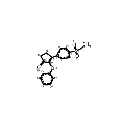 CCS(=O)(=O)c1ccc(C2=C(Oc3ccccc3)C(=O)CC2)cc1